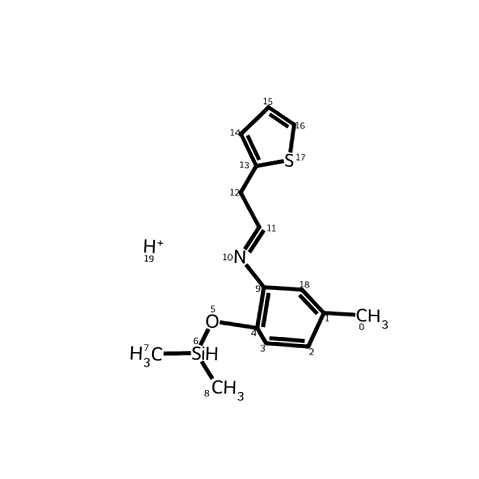 Cc1ccc(O[SiH](C)C)c(N=CCc2cccs2)c1.[H+]